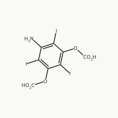 Nc1c(I)c(OC(=O)O)c(I)c(OC(=O)O)c1I